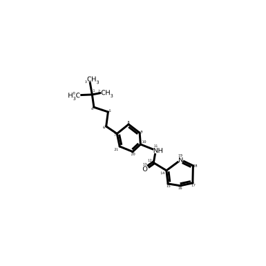 CC(C)(C)CCCc1ccc(NC(=O)c2ccccn2)cc1